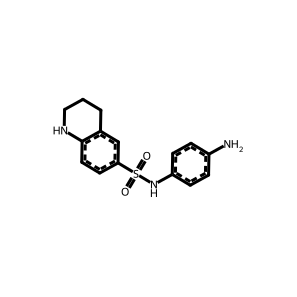 Nc1ccc(NS(=O)(=O)c2ccc3c(c2)CCCN3)cc1